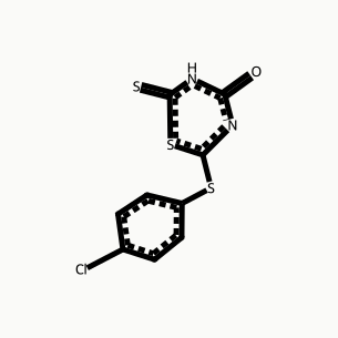 O=c1nc(Sc2ccc(Cl)cc2)sc(=S)[nH]1